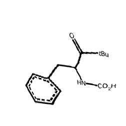 CC(C)(C)C(=O)C(Cc1ccccc1)NC(=O)O